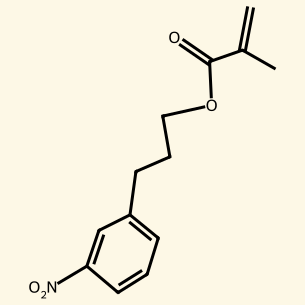 C=C(C)C(=O)OCCCc1cccc([N+](=O)[O-])c1